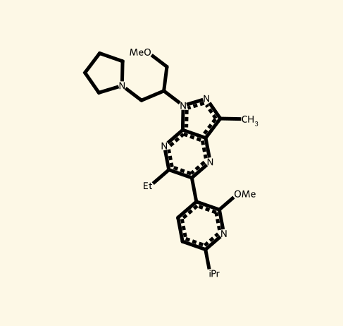 CCc1nc2c(nc1-c1ccc(C(C)C)nc1OC)c(C)nn2C(COC)CN1CCCC1